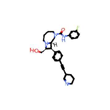 O=C(Nc1cccc(F)c1)N1CCCCN2[C@H](CO)[C@H](c3ccc(C#CC4C=NCCC4)cc3)[C@@H]2C1